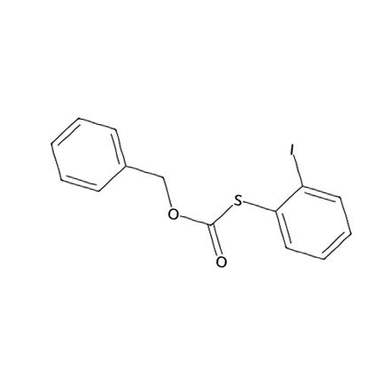 O=C(OCc1ccccc1)Sc1ccccc1I